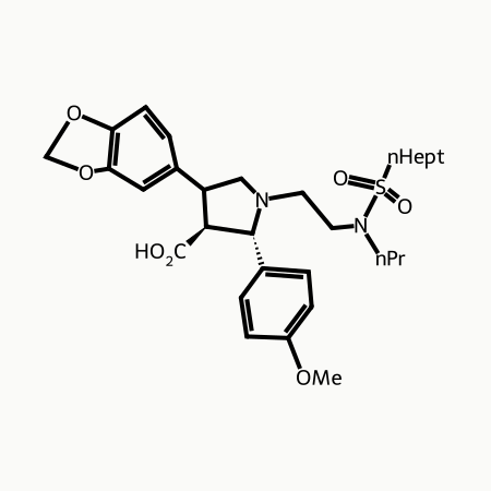 CCCCCCCS(=O)(=O)N(CCC)CCN1CC(c2ccc3c(c2)OCO3)[C@H](C(=O)O)[C@H]1c1ccc(OC)cc1